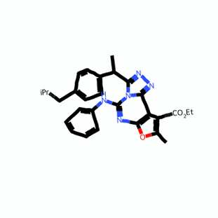 CCOC(=O)c1c(C)oc2nc(Nc3ccccc3)n3c(C(C)c4ccc(CC(C)C)cc4)nnc3c12